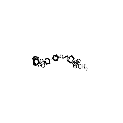 CS(=O)(=O)N1CCN(CCOc2ccc([C@H]3CC[C@]4(CC3)OO[C@]3(O4)C4CC5CC(C4)CC3C5)cc2)CC1